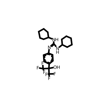 OC(c1ccc(N=C(NC2CCCCC2)NC2CCCCC2)cc1)(C(F)(F)F)C(F)(F)F